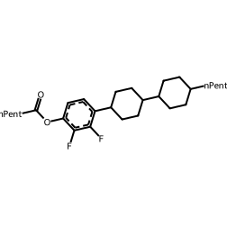 CCCCCC(=O)Oc1ccc(C2CCC(C3CCC(CCCCC)CC3)CC2)c(F)c1F